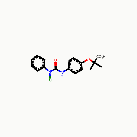 CC(C)(Oc1ccc(NC(=O)N(Cl)c2ccccc2)cc1)C(=O)O